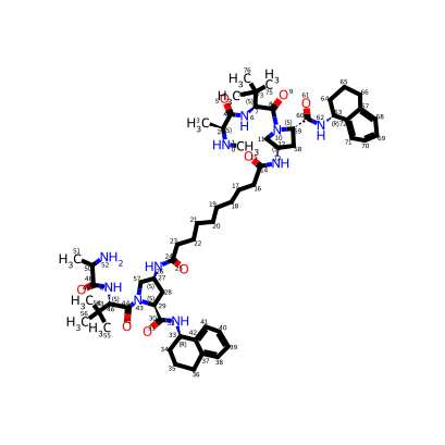 CN[C@@H](C)C(=O)N[C@H](C(=O)N1C[C@@H](NC(=O)CCCCCCCCC(=O)N[C@H]2C[C@@H](C(=O)N[C@@H]3CCCc4ccccc43)N(C(=O)[C@@H](NC(=O)C(C)N)C(C)(C)C)C2)C[C@H]1C(=O)N[C@@H]1CCCc2ccccc21)C(C)(C)C